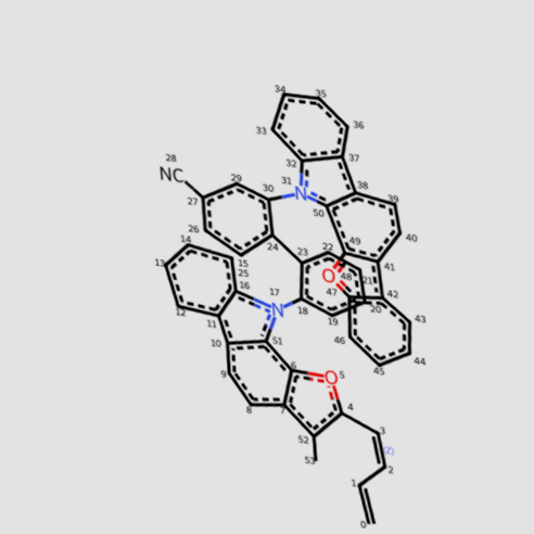 C=C/C=C\c1oc2c(ccc3c4ccccc4n(-c4ccccc4-c4ccc(C#N)cc4-n4c5ccccc5c5ccc6c7ccccc7oc6c54)c32)c1C